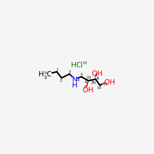 CCCCNC[C@H](O)[C@H](O)CO.Cl